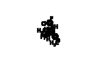 COc1ccc(C(=O)/N=C(/Nc2cc(F)cc(Cl)c2)NC2NNC(C(F)(F)F)C2C)cc1